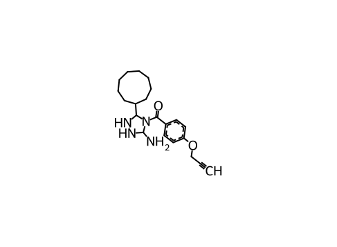 C#CCOc1ccc(C(=O)N2C(N)NNC2C2CCCCCCCC2)cc1